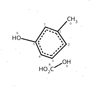 Cc1cccc(O)c1.O=C(O)O